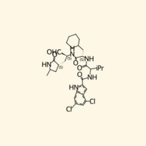 CC1C[C@@H](C[C@@H](C=O)NC(=O)[C@H](CC2CCCCC2)NC(=O)C(NC(=O)c2cc3c(Cl)cc(Cl)cc3[nH]2)C(C)C)C(=O)N1